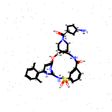 Cc1cccc(C)c1-c1cc2nc(n1)NS(=O)(=O)c1cccc(c1)C(=O)NCC1(CCN(C(=O)[C@H]3CC[C@@H](N)C3)CC1)CO2